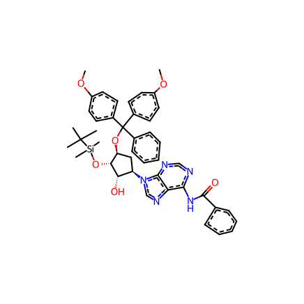 COc1ccc(C(O[C@H]2C[C@@H](n3cnc4c(NC(=O)c5ccccc5)ncnc43)[C@H](O)[C@@H]2O[Si](C)(C)C(C)(C)C)(c2ccccc2)c2ccc(OC)cc2)cc1